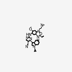 C=CC(=O)Nc1cc(Nc2ncc(C#N)c(-c3cn(C4=CC4)c4ccccc34)n2)c(OC)cc1N(C)CCN(C)C